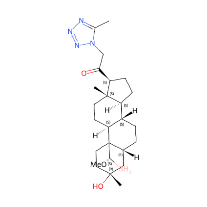 B[C@H](OC)C12CC[C@@](C)(O)C[C@H]1CC[C@@H]1[C@@H]2CC[C@]2(C)[C@@H](C(=O)Cn3nnnc3C)CC[C@@H]12